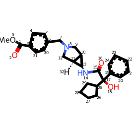 COC(=O)c1ccc(CN2CC3[C@H](C2)[C@H]3NC(=O)C(O)(c2ccccc2)C2CCCC2)cc1